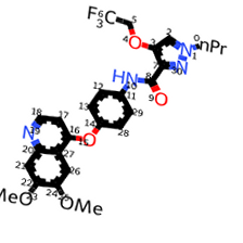 CCCn1cc(OCC(F)(F)F)c(C(=O)Nc2ccc(Oc3ccnc4cc(OC)c(OC)cc34)cc2)n1